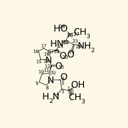 C[C@@H](O)C(N)C(=O)N1CCC[C@H]1C(=O)N1CCC[C@H]1C(=O)N[C@H](C(N)=O)[C@@H](C)O